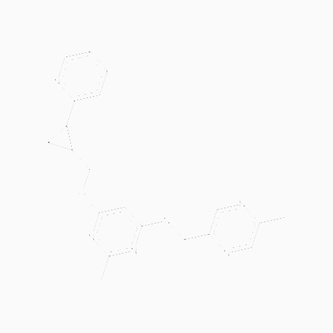 Cc1cnc(CNc2cc(OCC3CC3c3ccccn3)nc(C)n2)cn1